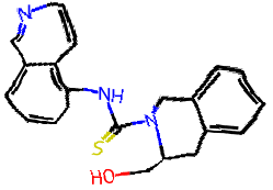 OC[C@@H]1Cc2ccccc2CN1C(=S)Nc1cccc2cnccc12